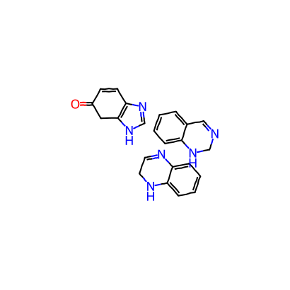 C1=NCNc2ccccc21.C1=Nc2ccccc2NC1.O=C1C=Cc2nc[nH]c2C1